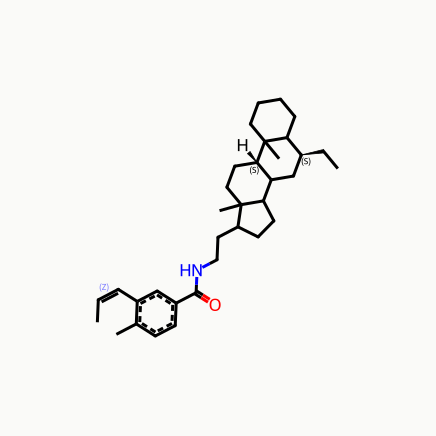 C/C=C\c1cc(C(=O)NCCC2CCC3C4C[C@H](CC)C5CCCCC5(C)[C@H]4CCC23C)ccc1C